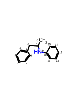 FC(F)(F)C(Cc1ccccc1)Nc1cc[c]cc1